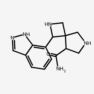 NC(=O)C1CNCC12CNC2c1cccc2cn[nH]c12